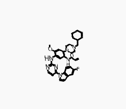 C=CC(=O)Nc1cc(Nc2nccc(-n3ccc4cc(F)ccc43)n2)c(OC)cc1N1CCN(CC2CCCCC2)CC1